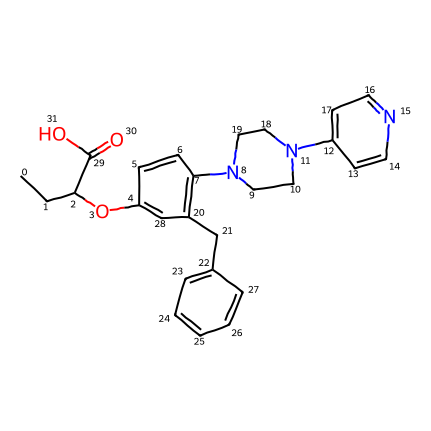 CCC(Oc1ccc(N2CCN(c3ccncc3)CC2)c(Cc2ccccc2)c1)C(=O)O